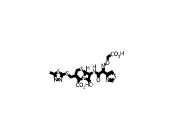 Cc1nnc(SCC2=C(C(=O)O)N3C(=O)C(NC(=O)C(=NOCC(=O)O)c4cscn4)[C@@H]3SC2)s1